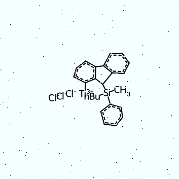 CCCC[Si](C)(c1ccccc1)C1c2ccccc2-c2ccc[c]([Ti+3])c21.[Cl-].[Cl-].[Cl-]